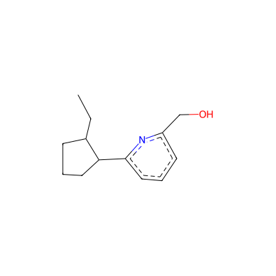 CCC1CCCC1c1cccc(CO)n1